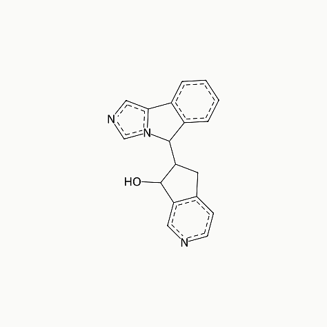 OC1c2cnccc2CC1C1c2ccccc2-c2cncn21